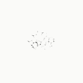 CC(=O)O[C@H]1C2C([C@@H](OC(=O)C(C)C)[C@@H](N)[C@H]3C[C@@H]4O[C@@H]4[C@H](O)[C@]23C)[C@@H]2[C@@H](O)[C@@H]3[C@H]([C@H](C)[C@H]4O[C@]45OC(=O)[C@@](C)(OC(=O)C(C)C)[C@]35C)[C@@]2(C)[C@H]1OC(C)=O